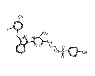 CC(C)(C)[C@H](NC(=O)c1nn(Cc2ccc(C#N)cc2F)c2ccccc12)C(=O)NCCNS(=O)(=O)c1ccc(C#N)cc1